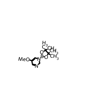 COC1=CN(B2OC(C)(C)C(C)(C)O2)CN=C1